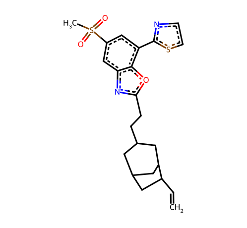 C=CC1CC2CC(CCc3nc4cc(S(C)(=O)=O)cc(-c5nccs5)c4o3)CC1C2